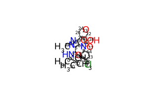 C[C@H](NC(=O)c1c(N(c2ccc(Cl)cc2)S(=O)(=O)O)c(C2CCOCC2)nn1C)C(C)(C)C